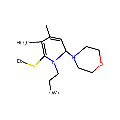 CCSC1=C(C(=O)O)C(C)=CC(N2CCOCC2)N1CCOC